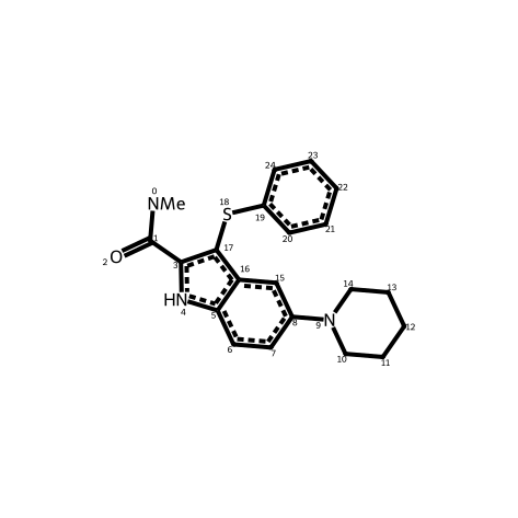 CNC(=O)c1[nH]c2ccc(N3CCCCC3)cc2c1Sc1ccccc1